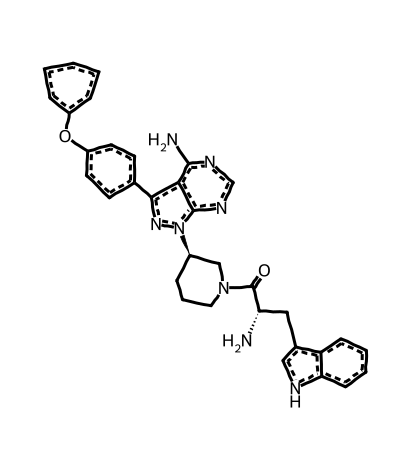 Nc1ncnc2c1c(-c1ccc(Oc3ccccc3)cc1)nn2[C@@H]1CCCN(C(=O)[C@@H](N)Cc2c[nH]c3ccccc23)C1